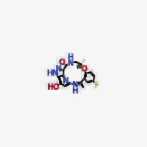 C[C@H]1CNC(=O)c2n[nH]c3c(O)cc(nc23)N[C@H](C)c2cc(F)ccc2O1